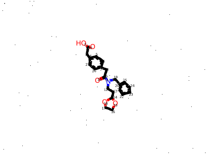 O=C(O)Cc1ccc(CC(=O)N(CCC2OCCO2)Cc2ccccc2)cc1